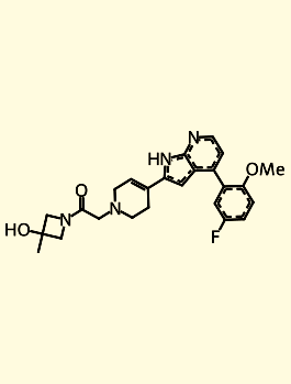 COc1ccc(F)cc1-c1ccnc2[nH]c(C3=CCN(CC(=O)N4CC(C)(O)C4)CC3)cc12